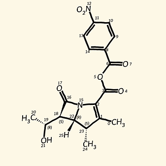 CC1=C(C(=O)OC(=O)c2ccc([N+](=O)[O-])cc2)N2C(=O)[C@H]([C@@H](C)O)[C@H]2[C@H]1C